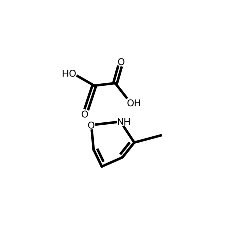 CC1=CC=CON1.O=C(O)C(=O)O